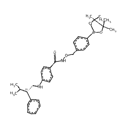 CC(C)[C@H](CNc1ccc(C(=O)NOCc2ccc(B3OC(C)(C)C(C)(C)O3)cc2)cc1)c1ccccc1